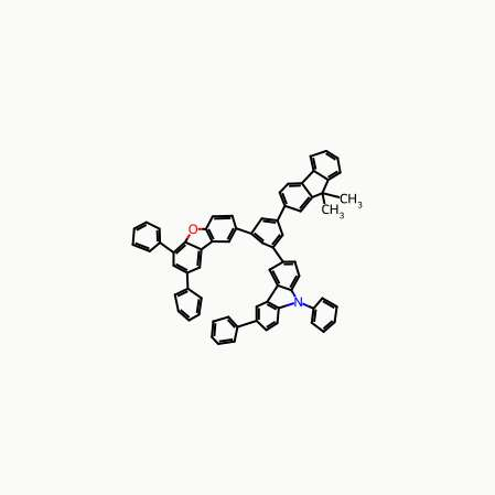 CC1(C)c2ccccc2-c2ccc(-c3cc(-c4ccc5oc6c(-c7ccccc7)cc(-c7ccccc7)cc6c5c4)cc(-c4ccc5c(c4)c4cc(-c6ccccc6)ccc4n5-c4ccccc4)c3)cc21